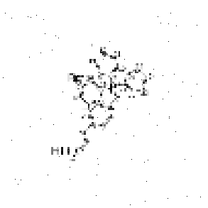 O=C(O)C=Cc1ccc(C[P+](c2ccccc2)(c2ccccc2)c2ccccc2)cc1.[Br-]